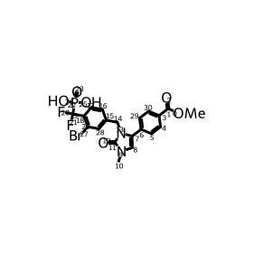 COC(=O)c1ccc(-c2cn(C)c(=O)n2Cc2ccc(C(F)(F)P(=O)(O)O)c(Br)c2)cc1